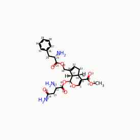 COC(=O)C1=CO[C@@H](OC(=O)[C@@H](N)CC(N)=O)[C@@H]2C(COC(=O)[C@@H](N)Cc3ccccc3)=CC[C@H]12